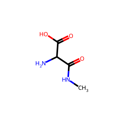 CNC(=O)C(N)C(=O)O